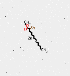 CCCCCCCCCCCCC(S)C(=O)OCC.[Zn]